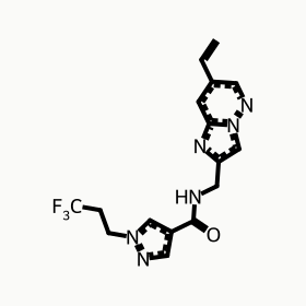 C=Cc1cnn2cc(CNC(=O)c3cnn(CCC(F)(F)F)c3)nc2c1